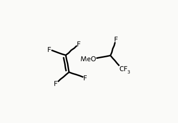 COC(F)C(F)(F)F.FC(F)=C(F)F